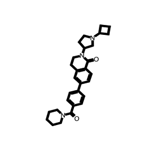 O=C(c1ccc(-c2ccc3c(c2)CCN(C2CCN(C4CCC4)C2)C3=O)cc1)N1CCCCC1